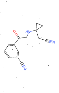 N#CCC1(NCC(=O)c2cccc(C#N)c2)CC1